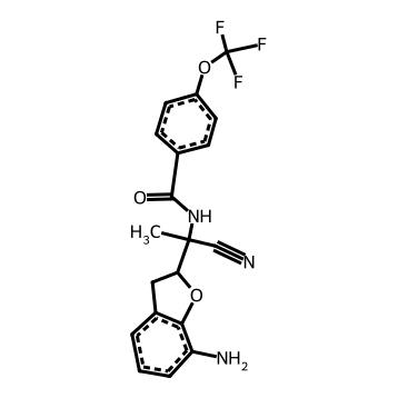 CC(C#N)(NC(=O)c1ccc(OC(F)(F)F)cc1)C1Cc2cccc(N)c2O1